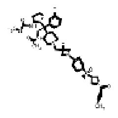 CC#CC(=O)N1CC(S(=O)(=O)c2ccc(N3CC(F)(CN4CCC([C@@](CNC(C)=O)(c5cccc(F)c5)[C@H]5CCC[C@@H]5NC(=O)OC)CC4)C3)cc2)C1